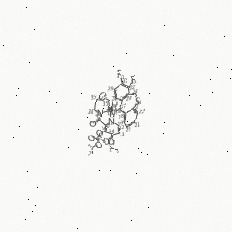 CCOP(=O)(OCC)Oc1c2n(ccc1=O)N([C@@H]1c3ccccc3SCc3c1ccc(F)c3F)[C@@H]1COCCN1C2=O